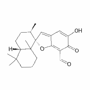 C[C@@H]1CC[C@H]2C(C)(C)CCCC2(C)[C@]12C=C1C=C(O)C(=O)C(C=O)=C1O2